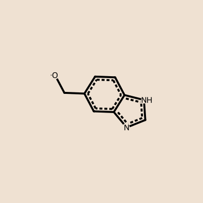 [O]Cc1ccc2[nH]cnc2c1